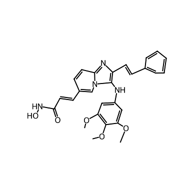 COc1cc(Nc2c(C=Cc3ccccc3)nc3ccc(C=CC(=O)NO)cn23)cc(OC)c1OC